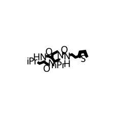 CCCN1C(=O)C(CC(C)C)NC(=O)C12CCN(C(=O)NCCc1cccs1)CC2